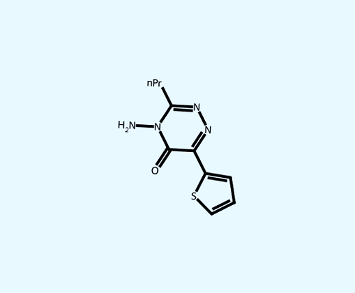 CCCc1nnc(-c2cccs2)c(=O)n1N